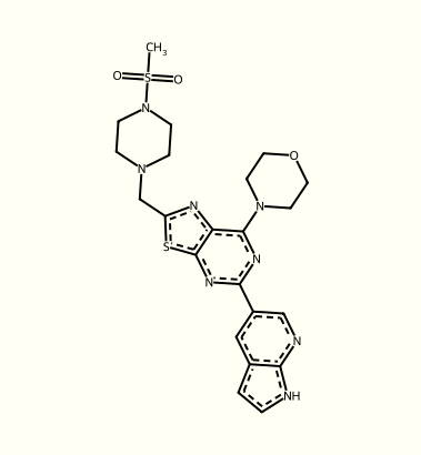 CS(=O)(=O)N1CCN(Cc2nc3c(N4CCOCC4)nc(-c4cnc5[nH]ccc5c4)nc3s2)CC1